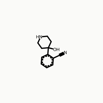 N#Cc1ccccc1C1(O)CCNCC1